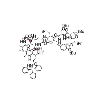 CC(C)C[C@H](NC(=O)[C@H](Cc1ccc(OC(C)(C)C)cc1)NC(=O)[C@H](COC(C)(C)C)NC(=O)[C@H](COC(C)(C)C)NC(=O)[C@@H](N)C(C)C)C(=O)N[C@@H](CCC(=O)OC(C)(C)C)C(=O)NCC(=O)N[C@@H](CCC(=O)NC(c1ccccc1)(c1ccccc1)c1ccccc1)C(=O)N[C@@H](C)C(=O)N[C@@H](C)C(=O)N[C@@H](CCCCN)C(=O)O